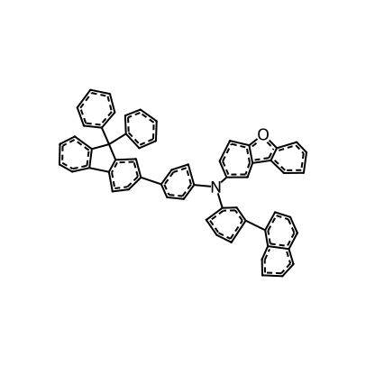 c1ccc(C2(c3ccccc3)c3ccccc3-c3ccc(-c4ccc(N(c5cccc(-c6cccc7ccccc67)c5)c5ccc6oc7ccccc7c6c5)cc4)cc32)cc1